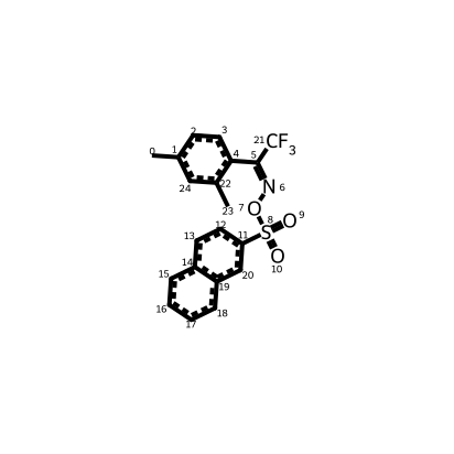 Cc1ccc(C(=NOS(=O)(=O)c2ccc3ccccc3c2)C(F)(F)F)c(C)c1